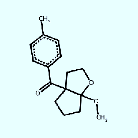 COC12CCCC1(C(=O)c1ccc(C)cc1)CCO2